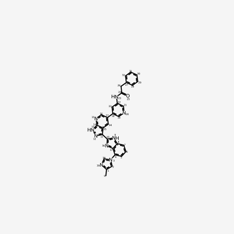 Cc1cn(-c2cccc3[nH]c(-c4n[nH]c5ncc(-c6cncc(NC(=O)Cc7ccccc7)c6)cc45)nc23)cn1